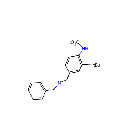 CC(C)(C)c1cc(CNCc2ccccc2)ccc1NC(=O)O